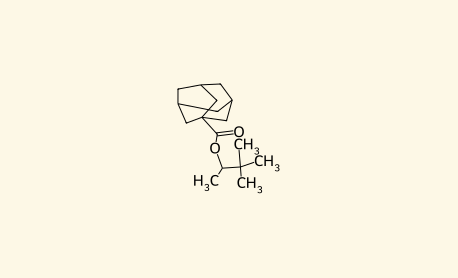 CC(OC(=O)C12CC3CC(CC(C3)C1)C2)C(C)(C)C